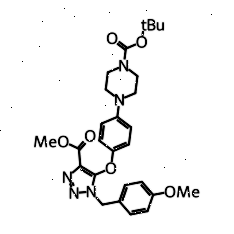 COC(=O)c1nnn(Cc2ccc(OC)cc2)c1Oc1ccc(N2CCN(C(=O)OC(C)(C)C)CC2)cc1